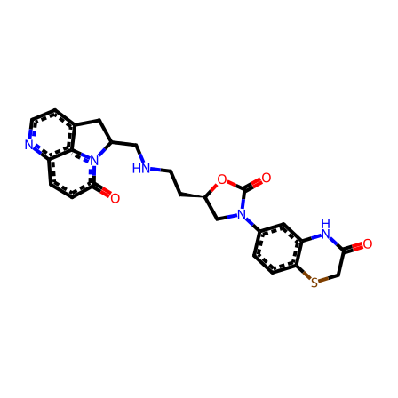 O=C1CSc2ccc(N3C[C@@H](CCNCC4Cc5ccnc6ccc(=O)n4c56)OC3=O)cc2N1